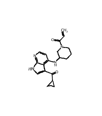 C=CC(=O)N1CCCC(Nc2ccnc3[nH]cc(C(=O)C4CC4)c23)C1